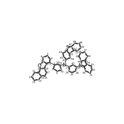 c1cc(-c2cccc3oc4c5ccccc5ccc4c23)cc(N(c2cccc(-n3c4ccccc4c4ccccc43)c2)c2ccc3sc4ccccc4c3c2)c1